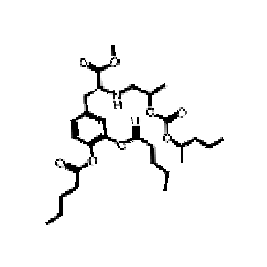 CCCCC(=O)Oc1ccc(C[C@H](NCC(C)OC(=O)OC(C)CCC)C(=O)OC)cc1OC(=O)CCCC